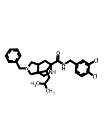 CC(C)CC1C2C3CNC1(C(=O)NCc1ccc(Cl)c(Cl)c1)CC3CN2Cc1ccccc1